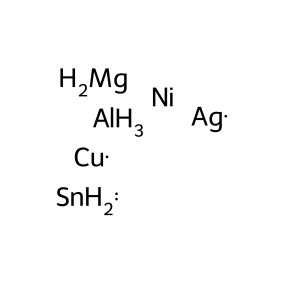 [Ag].[AlH3].[Cu].[MgH2].[Ni].[SnH2]